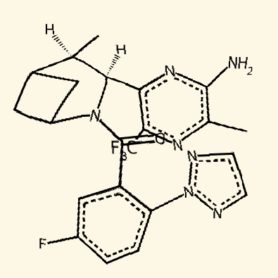 Cc1nc(C(F)(F)F)c([C@@H]2[C@H](C)C3CC(C3)N2C(=O)c2cc(F)ccc2-n2nccn2)nc1N